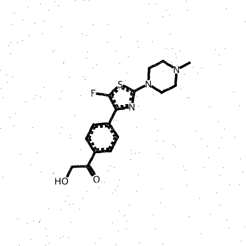 CN1CCN(c2nc(-c3ccc(C(=O)CO)cc3)c(F)s2)CC1